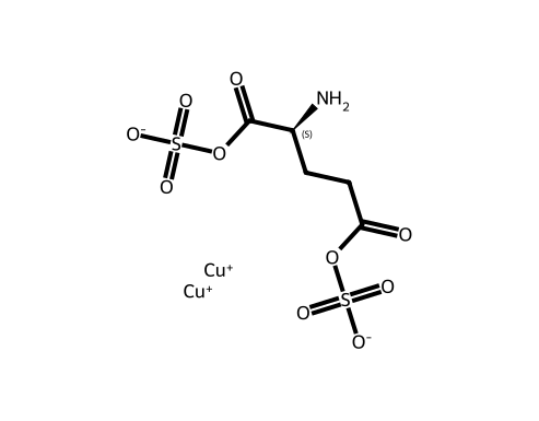 N[C@@H](CCC(=O)OS(=O)(=O)[O-])C(=O)OS(=O)(=O)[O-].[Cu+].[Cu+]